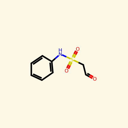 O=CCS(=O)(=O)Nc1ccccc1